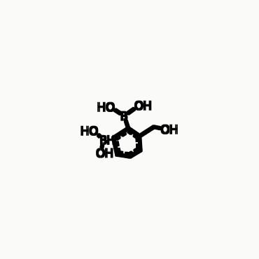 OBO.OCc1ccccc1B(O)O